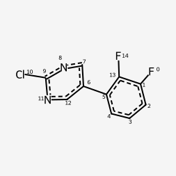 Fc1cccc(-c2cnc(Cl)nc2)c1F